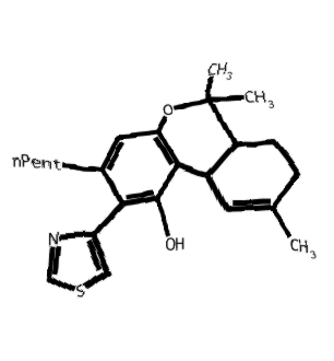 CCCCCc1cc2c(c(O)c1-c1cscn1)C1C=C(C)CCC1C(C)(C)O2